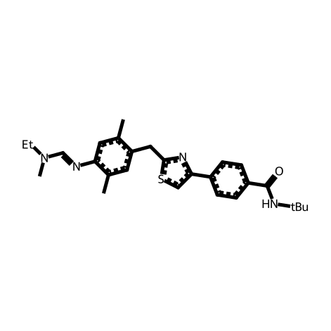 CCN(C)/C=N/c1cc(C)c(Cc2nc(-c3ccc(C(=O)NC(C)(C)C)cc3)cs2)cc1C